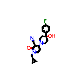 N#Cc1c(N2CCC(O)(c3ccc(F)cc3)CC2)ccn(CC2CC2)c1=O